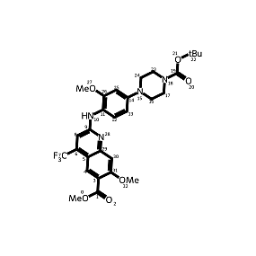 COC(=O)c1cc2c(C(F)(F)F)cc(Nc3ccc(N4CCN(C(=O)OC(C)(C)C)CC4)cc3OC)nc2cc1OC